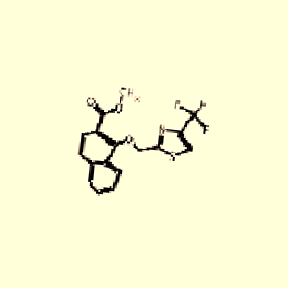 COC(=O)c1ccc2ccccc2c1OCc1nc(C(F)(F)F)cs1